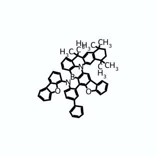 CC1(C)CCC(C)(C)c2cc3c(cc21)N1c2cc4c(oc5ccccc54)c4c2B(c2cccc(c21)C3(C)C)N(c1cccc2c1oc1ccccc12)c1ccc(-c2ccccc2)cc1-4